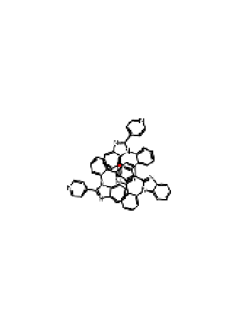 c1ccc(-n2c(-c3ccncc3)nc3ccccc32)c(-c2nc(-c3ccccc3-n3c(-c4ccncc4)nc4ccccc43)nc(-c3ccccc3-n3c(-c4ccncc4)nc4ccccc43)n2)c1